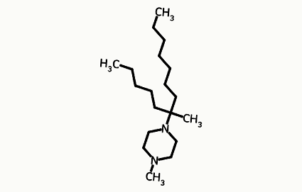 CCCCCCCC(C)(CCCCC)N1CCN(C)CC1